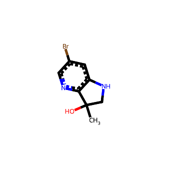 CC1(O)CNc2cc(Br)cnc21